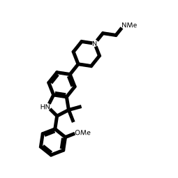 CNCCN1CCC(c2ccc3c(c2)C(C)(C)C(c2ccccc2OC)N3)CC1